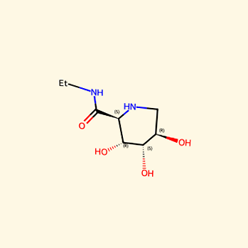 CCNC(=O)[C@H]1NC[C@@H](O)[C@H](O)[C@@H]1O